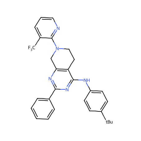 CC(C)(C)c1ccc(Nc2nc(-c3ccccc3)nc3c2CCN(c2ncccc2C(F)(F)F)C3)cc1